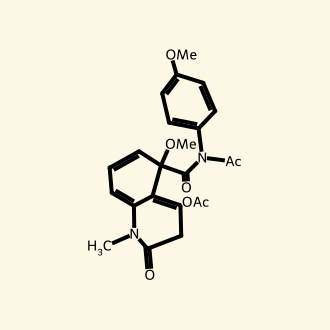 COc1ccc(N(C(C)=O)C(=O)C2(OC)C=CC=C3C2=C(OC(C)=O)CC(=O)N3C)cc1